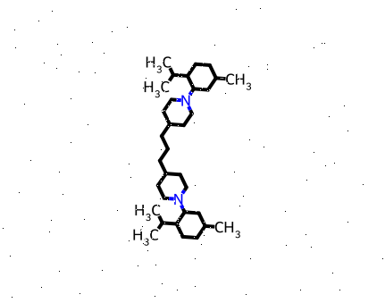 CC1CCC(C(C)C)C(N2CCC(CCCC3CCN(C4CC(C)CCC4C(C)C)CC3)CC2)C1